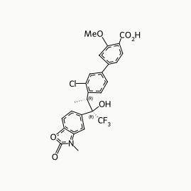 COc1cc(-c2ccc([C@@H](C)[C@@](O)(c3ccc4oc(=O)n(C)c4c3)C(F)(F)F)c(Cl)c2)ccc1C(=O)O